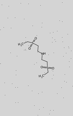 CCS(=O)(=O)CCNCCS(=O)(=O)CC